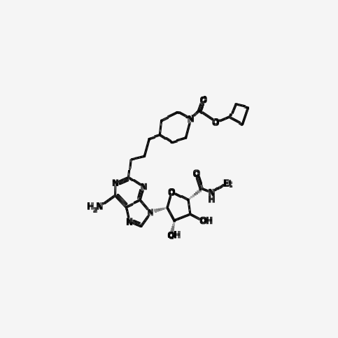 CCNC(=O)[C@H]1O[C@@H](n2cnc3c(N)nc(CCCC4CCN(C(=O)OC5CCC5)CC4)nc32)[C@@H](O)C1O